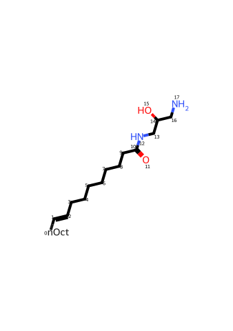 CCCCCCCCC=CCCCCCCCC(=O)NCC(O)CN